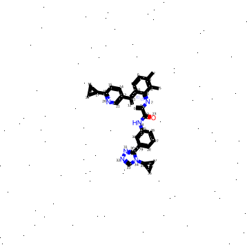 C=C(/N=C1/C(C)=C(C)C=C/C1=C(/C)c1ccc(C2CC2)nc1)C(=O)Nc1cccc(-c2nncn2C2CC2)c1